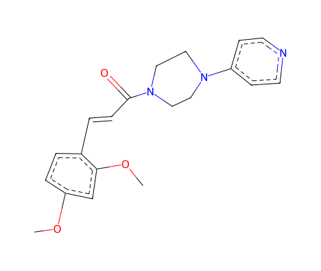 COc1ccc(C=CC(=O)N2CCN(c3ccncc3)CC2)c(OC)c1